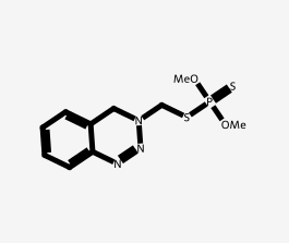 COP(=S)(OC)SCN1Cc2ccccc2N=N1